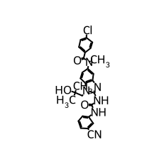 CN(C(=O)c1ccc(Cl)cc1)c1ccc2c(c1)nc(NC(=O)Nc1cccc(C#N)c1)n2CC(C)(C)O